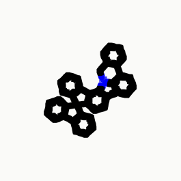 c1ccc2c(c1)Cn1c3c-2cccc3c2ccc3c(c21)-c1ccccc1C31c2ccccc2-c2ccccc21